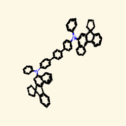 c1ccc(N(c2ccc(-c3ccc(-c4ccc(N(c5ccccc5)c5cc6c(c7ccccc57)-c5ccccc5C65CCCC5)cc4)cc3)cc2)c2cc3c(c4ccccc24)-c2ccccc2C32CCCC2)cc1